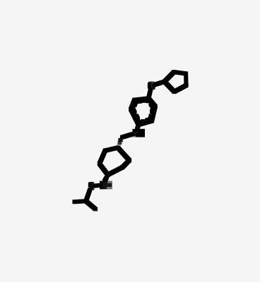 CC(C)SN[C@H]1CC[C@H](CNc2ccc(OC3CCCC3)cc2)CC1